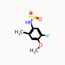 COc1cc(C)c(N[SH](=O)=O)cc1F